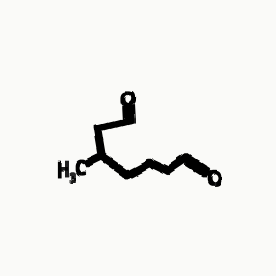 CC(CC=O)CCCC=O